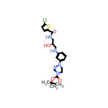 CC(C)(C)OC(=O)N1C=NN(c2cccc(NC[C@@H](O)CNC(=O)c3ccc(Cl)s3)c2)CC1